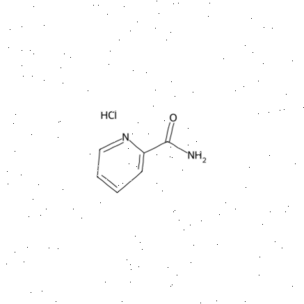 Cl.NC(=O)c1ccccn1